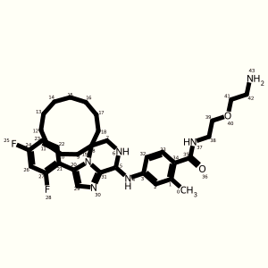 Cc1cc(NC2NCC3(CCCCCCCCCC3)n3c(-c4ccc(F)cc4F)cnc32)ccc1C(=O)NCCOCCN